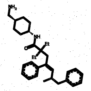 CCC(CC)(C/C(=C/C(C)Cc1ccccc1)c1ccccc1)C(=O)N[C@H]1CC[C@H](CN)CC1